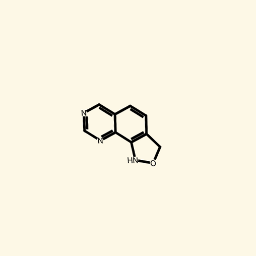 c1ncc2ccc3c(c2n1)NOC3